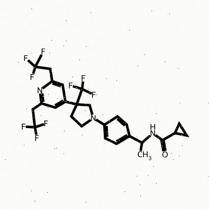 CC(NC(=O)C1CC1)c1ccc(N2CCC(c3cc(CC(F)(F)F)nc(CC(F)(F)F)c3)(C(F)(F)F)C2)cc1